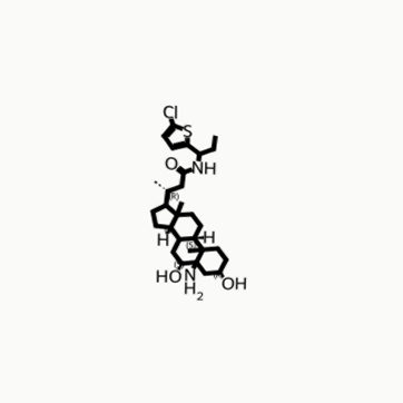 CCC(NC(=O)C[C@@H](C)C1CC[C@H]2C3C[C@H](O)C4(N)C[C@H](O)CCC4(C)[C@H]3CCC12C)c1ccc(Cl)s1